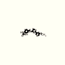 COc1cncc(-c2nccc(NCc3ccc4[nH]c(=O)[nH]c4c3)n2)c1